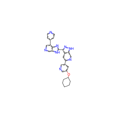 c1cc(-c2cncc3[nH]c(-c4n[nH]c5cnc(-c6cncc(OC7CCCCC7)c6)cc45)nc23)ccn1